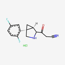 Cl.N#CCC(=O)C1NC[C@@]2(c3cc(F)ccc3F)C[C@@H]12